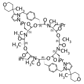 CC(C)C[C@H]1C(=O)O[C@H](Cc2ccc(Cn3nccc3C3(C)CCOCC3)cc2)C(=O)N(C)[C@@H](CC(C)C)C(=O)O[C@H](C)C(=O)N(C)[C@@H](CC(C)C)C(=O)O[C@H](Cc2ccc(Cn3nccc3C3(C)CCOCC3)cc2)C(=O)N(C)[C@@H](CC(C)C)C(=O)O[C@H](C)C(=O)N1C